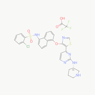 O=C(O)C(F)(F)F.O=S(=O)(Nc1cccc2c(Oc3ncsc3-c3ccnc(N[C@H]4CCCNC4)n3)cccc12)c1ccccc1Cl